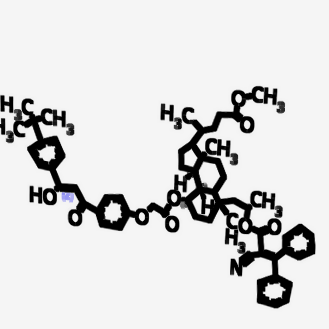 COC(=O)CCC(C)C1CC[C@H]2[C@@H]3C(CCC12C)C(C)(CC(C)OC(=O)C(C#N)=C(c1ccccc1)c1ccccc1)CC[C@@H]3OC(=O)COc1ccc(C(=O)/C=C(\O)c2ccc(C(C)(C)C)cc2)cc1